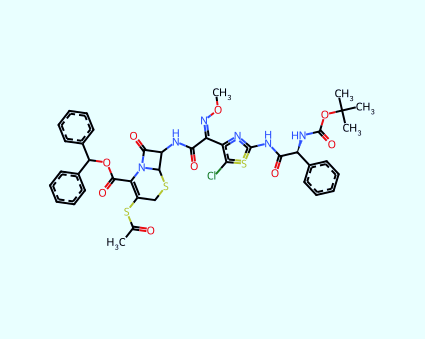 CON=C(C(=O)NC1C(=O)N2C(C(=O)OC(c3ccccc3)c3ccccc3)=C(SC(C)=O)CSC12)c1nc(NC(=O)[C@@H](NC(=O)OC(C)(C)C)c2ccccc2)sc1Cl